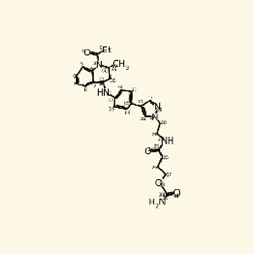 CCC(=O)N1c2ccccc2[C@H](Nc2ccc(-c3cnn(CCNC(=O)CCCOC(N)=O)c3)cc2)C[C@@H]1C